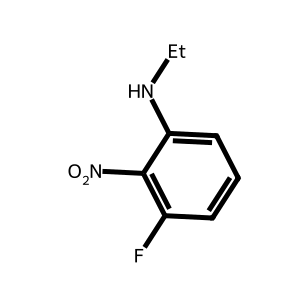 CCNc1cccc(F)c1[N+](=O)[O-]